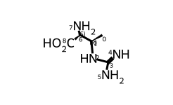 C[C@@H](NC(=N)N)[C@H](N)C(=O)O